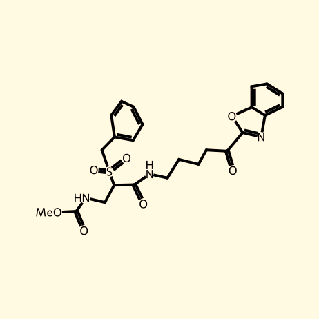 COC(=O)NCC(C(=O)NCCCCC(=O)c1nc2ccccc2o1)S(=O)(=O)Cc1ccccc1